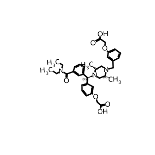 CCN(CC)C(=O)c1cccc([C@H](c2cccc(OCC(=O)O)c2)N2C[C@@H](C)N(Cc3cccc(OCC(=O)O)c3)C[C@@H]2C)c1